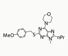 CCCc1nc2c(N3CCOCC3)nc(SCc3ccc(OC)cc3)nc2n1C